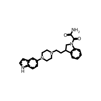 NC(=O)C(=O)N1CC(CCN2CCN(c3ccc4[nH]ccc4c3)CC2)c2ccccc21